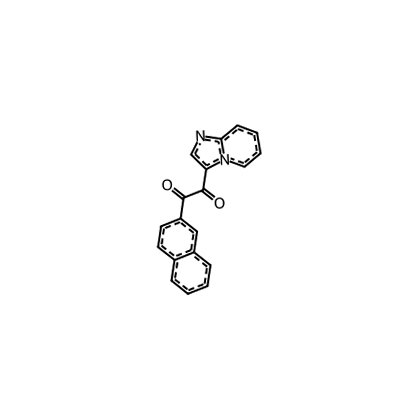 O=C(C(=O)c1cnc2ccccn12)c1ccc2ccccc2c1